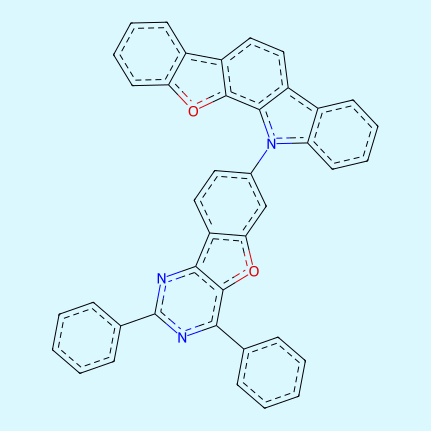 c1ccc(-c2nc(-c3ccccc3)c3oc4cc(-n5c6ccccc6c6ccc7c8ccccc8oc7c65)ccc4c3n2)cc1